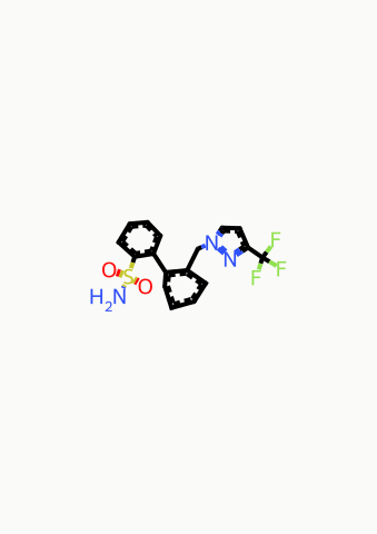 NS(=O)(=O)c1ccccc1-c1ccccc1Cn1ccc(C(F)(F)F)n1